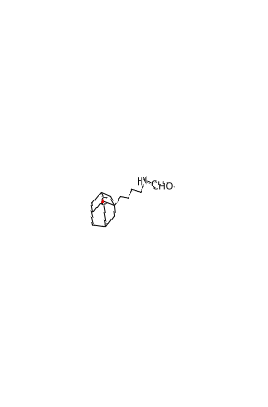 O=[C]NCCCCC12CC3CC(CC(C3)C1)C2